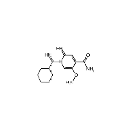 COc1cn(C(=N)C2CCCCC2)c(=N)cc1C(N)=O